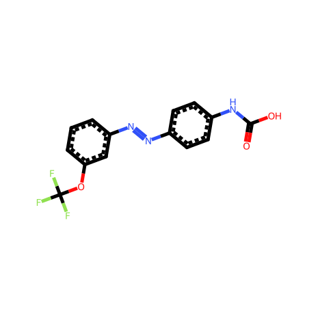 O=C(O)Nc1ccc(/N=N/c2cccc(OC(F)(F)F)c2)cc1